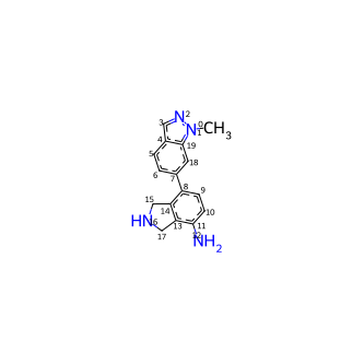 Cn1ncc2ccc(-c3ccc(N)c4c3CNC4)cc21